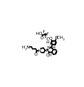 COc1ccc(C2=NN(C3CCN(C(=O)CCCN)CC3)C(=O)[C@@H]3CC=CC[C@H]23)cc1OC.O=C(O)C(F)(F)F